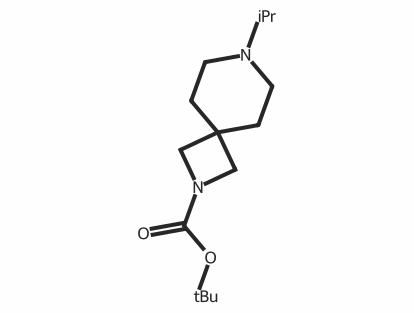 CC(C)N1CCC2(CC1)CN(C(=O)OC(C)(C)C)C2